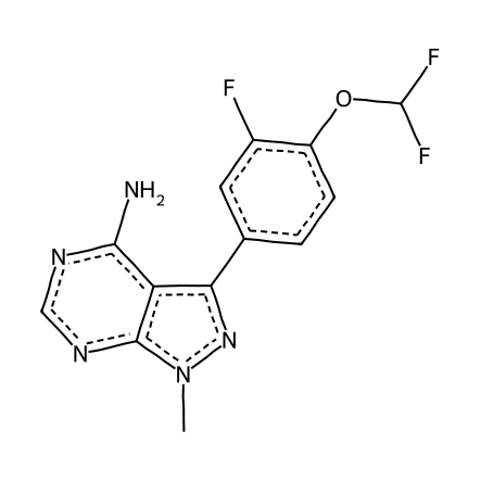 Cn1nc(-c2ccc(OC(F)F)c(F)c2)c2c(N)ncnc21